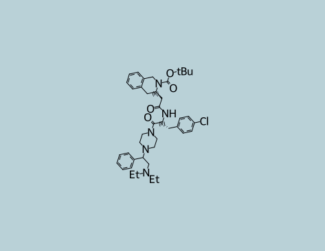 CCN(CC)CC(c1ccccc1)N1CCN(C(=O)[C@@H](Cc2ccc(Cl)cc2)NC(=O)C[C@H]2Cc3ccccc3CN2C(=O)OC(C)(C)C)CC1